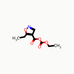 CCOC(=O)OC(=O)c1cnoc1CC